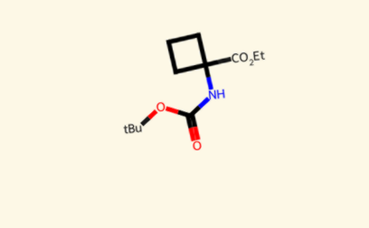 CCOC(=O)C1(NC(=O)OC(C)(C)C)CCC1